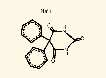 O=C1NC(=O)C(c2ccccc2)(c2ccccc2)C(=O)N1.[NaH]